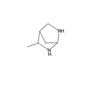 CC1NC2CC1CN2